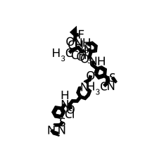 Cc1ncsc1-c1ccc(CNC(=O)C2CCCCN2C(=O)[C@@H](NC(=O)C2(F)CC2)C(C)(C)C)c(OCCN2CCCC(CCC(=O)Nc3cccc(Sc4cnccn4)c3Cl)CC2)c1